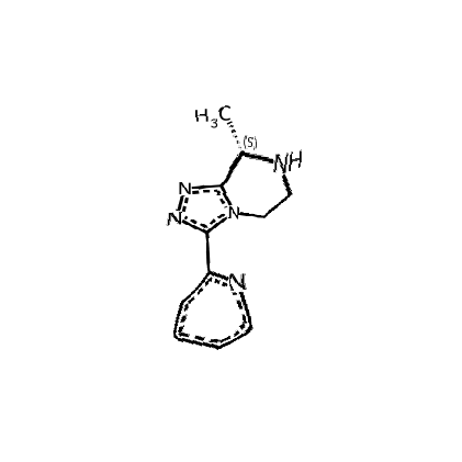 C[C@@H]1NCCn2c(-c3ccccn3)nnc21